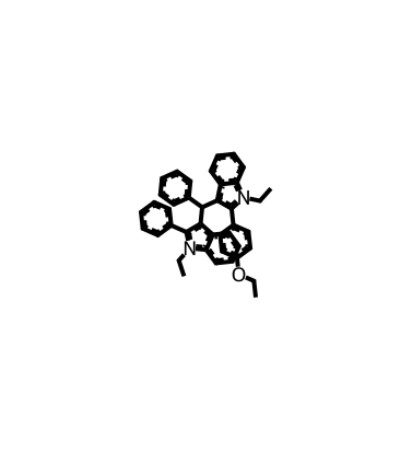 CCOc1ccc(-c2c(C(c3ccccc3)c3c(-c4ccccc4)n(CC)c4ccccc34)c3ccccc3n2CC)cc1